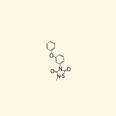 Cn1sc(=O)n(-c2cccc(Oc3ccccc3)c2)c1=O